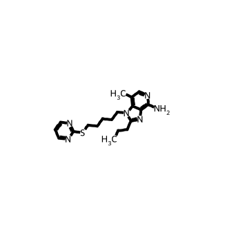 CCCc1nc2c(N)ncc(C)c2n1CCCCCSc1ncccn1